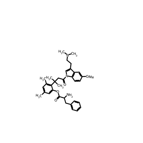 COc1ccc2c(c1)c(CCN(C)C)cn2C(=O)CC(C)(C)c1c(C)cc(C)cc1OC(=O)C(N)Cc1ccccc1